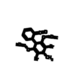 CCCCCCCCCCOC1=C(Br)N(C)C(Br)=C(OCCCCCCCCCC)C1C1C=CC=CC1=C=O